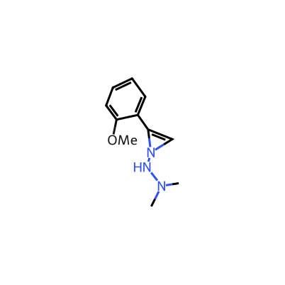 COc1ccccc1C1=CN1NN(C)C